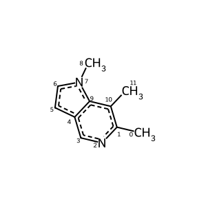 Cc1ncc2ccn(C)c2c1C